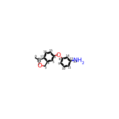 CB1OCc2cc(Oc3cccc(N)c3)ccc21